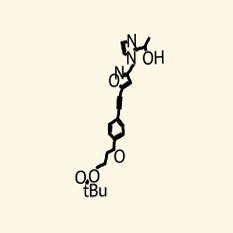 CC(O)c1nccn1Cc1cc(C#Cc2ccc(C(=O)CCCOC(=O)C(C)(C)C)cc2)on1